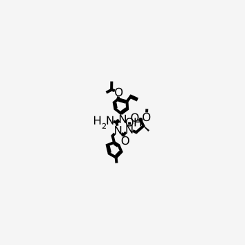 C=Cc1cc(/N=C(\N)N(Cc2ccc(C)cc2)C(=O)N(O)C[C@H](C)C(=O)OC)ccc1OC(C)C